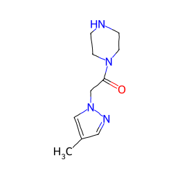 Cc1cnn(CC(=O)N2CCNCC2)c1